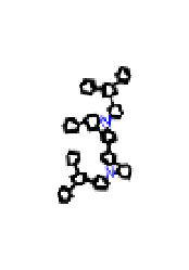 c1ccc(-c2cc(-c3ccccc3)cc(-c3cccc(-n4c5ccccc5c5cc(-c6ccc7c(c6)c6cc(-c8ccccc8)ccc6n7-c6cccc(-c7cc(-c8ccccc8)cc(-c8ccccc8)c7)c6)ccc54)c3)c2)cc1